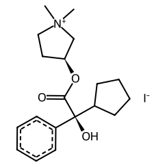 C[N+]1(C)CC[C@H](OC(=O)[C@@](O)(c2ccccc2)C2CCCC2)C1.[I-]